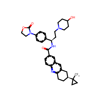 O=C(N[C@H](CCN1CCC(O)CC1)c1ccc(N2CCOC2=O)cc1)c1ccc2nc3c(cc2c1)C[C@@H](C1(C(F)(F)F)CC1)CC3